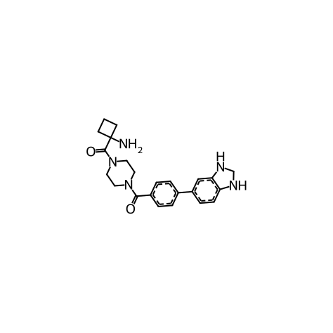 NC1(C(=O)N2CCN(C(=O)c3ccc(-c4ccc5c(c4)NCN5)cc3)CC2)CCC1